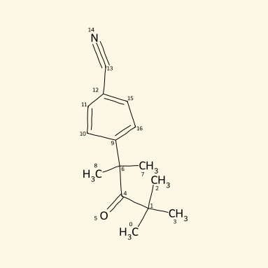 CC(C)(C)C(=O)C(C)(C)c1ccc(C#N)cc1